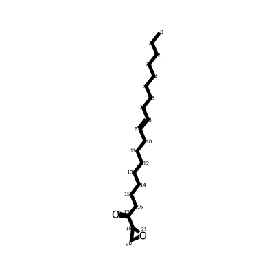 CCCCCCCCC=CCCCCCCCC(=O)C1CO1